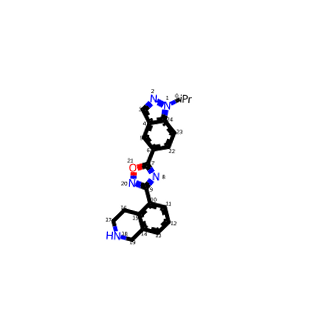 CC(C)n1ncc2cc(-c3nc(-c4cccc5c4CCNC5)no3)ccc21